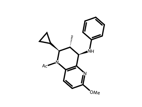 COc1ccc2c(n1)[C@H](Nc1ccccc1)[C@@H](C)[C@H](C1CC1)N2C(C)=O